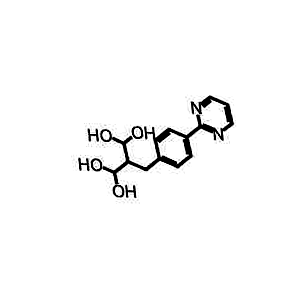 OC(O)C(Cc1ccc(-c2ncccn2)cc1)C(O)O